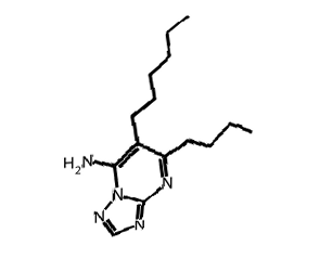 CCCCCCc1c(CCCC)nc2ncnn2c1N